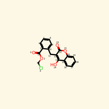 O=C(OCCl)c1ccccc1Cc1c(O)c2ccccc2oc1=O